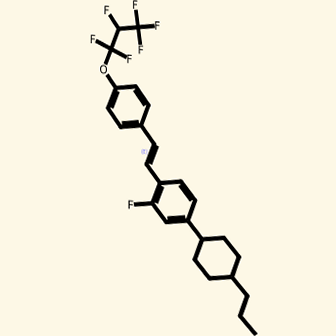 CCCC1CCC(c2ccc(/C=C/c3ccc(OC(F)(F)C(F)C(F)(F)F)cc3)c(F)c2)CC1